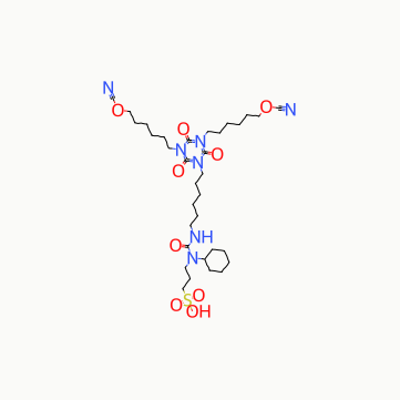 N#COCCCCCCn1c(=O)n(CCCCCCNC(=O)N(CCCS(=O)(=O)O)C2CCCCC2)c(=O)n(CCCCCCOC#N)c1=O